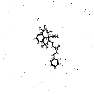 CC(C)C(C#N)(CCCN(C)CCc1ccccc1)c1c(C(F)(F)F)cccc1C(F)(F)F